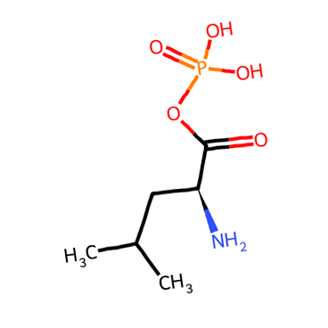 CC(C)C[C@H](N)C(=O)OP(=O)(O)O